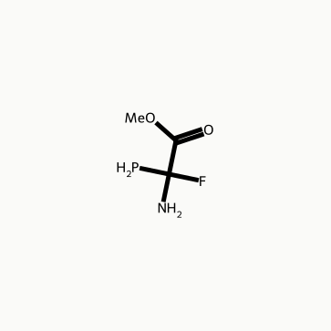 COC(=O)C(N)(F)P